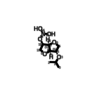 CC(C)O[C@H]1CO[C@H]2[C@@H]1OC[C@H]2ON(O)O